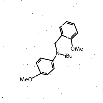 CCC(C)N(Cc1ccccc1OC)c1ccc(OC)cc1